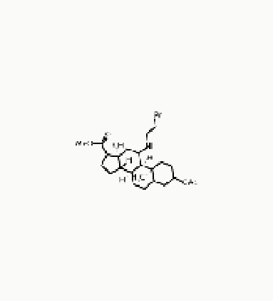 COC(=O)C1CC[C@H]2[C@@H]3CCC4CC(OC(C)=O)CC[C@]4(C)[C@@H]3C(NCCC(C)C)C[C@]12C